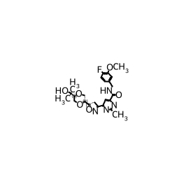 COc1cc(CNC(=O)c2cc(C3=NO[C@H]([C@H]4CO[C@H](C(C)(C)O)CO4)C3)nc(C)n2)ccc1F